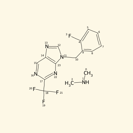 CNC.Fc1ccccc1Cn1cnc2cnc(C(F)(F)F)nc21